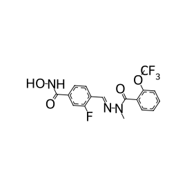 CN(N=Cc1ccc(C(=O)NO)cc1F)C(=O)c1ccccc1OC(F)(F)F